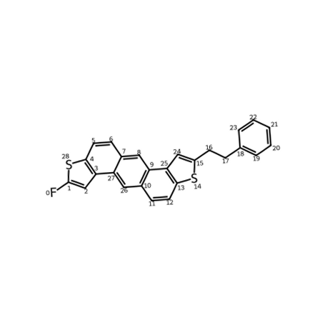 Fc1cc2c(ccc3cc4c(ccc5sc(CCc6ccccc6)cc54)cc32)s1